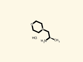 C[C@@H](N)CN1CCOCC1.Cl